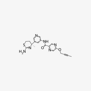 CC#CCOc1cnc(C(=O)Nc2cncc([C@]3(C)CCSC(N)=N3)c2)cn1